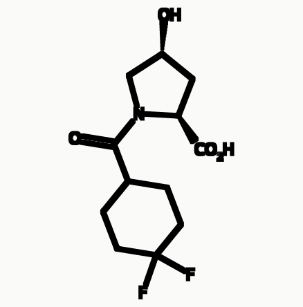 O=C(O)[C@@H]1C[C@@H](O)CN1C(=O)C1CCC(F)(F)CC1